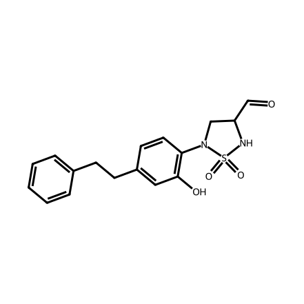 O=CC1CN(c2ccc(CCc3ccccc3)cc2O)S(=O)(=O)N1